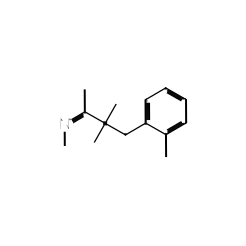 C/N=C(/C)C(C)(C)Cc1ccccc1C